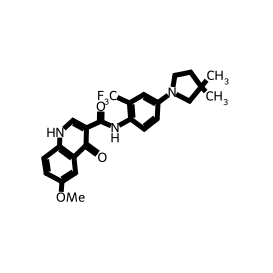 COc1ccc2[nH]cc(C(=O)Nc3ccc(N4CCC(C)(C)C4)cc3C(F)(F)F)c(=O)c2c1